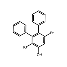 CCc1cc(O)c(O)c(-c2ccccc2)c1-c1ccccc1